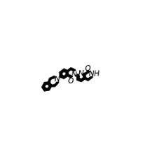 O=C1NCCc2ccc(N3CCc4ccc(N5CCc6ccccc6CC5)cc4C3=O)nc21